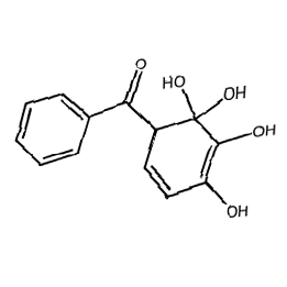 O=C(c1ccccc1)C1C=CC(O)=C(O)C1(O)O